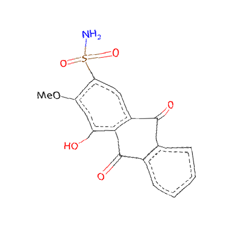 COc1c(S(N)(=O)=O)cc2c(c1O)C(=O)c1ccccc1C2=O